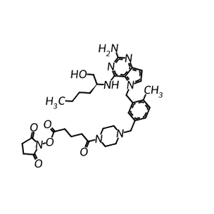 CCCC[C@@H](CO)Nc1nc(N)nc2ccn(Cc3cc(CN4CCN(C(=O)CCCC(=O)ON5C(=O)CCC5=O)CC4)ccc3C)c12